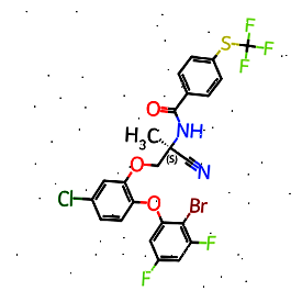 C[C@](C#N)(COc1cc(Cl)ccc1Oc1cc(F)cc(F)c1Br)NC(=O)c1ccc(SC(F)(F)F)cc1